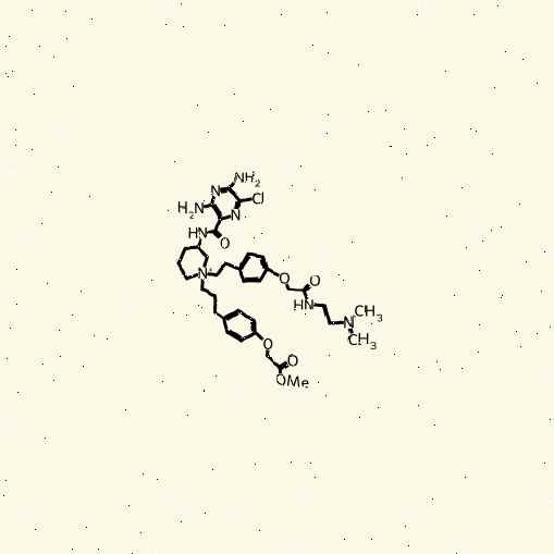 COC(=O)COc1ccc(CCC[N+]2(CCc3ccc(OCC(=O)NCCN(C)C)cc3)CCCC(NC(=O)c3nc(Cl)c(N)nc3N)C2)cc1